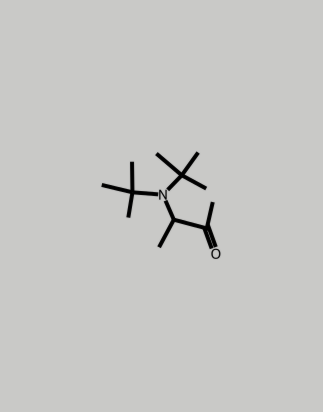 CC(=O)C(C)N(C(C)(C)C)C(C)(C)C